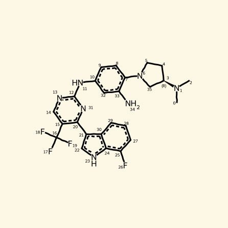 CN(C)[C@@H]1CCN(c2ccc(Nc3ncc(C(F)(F)F)c(-c4c[nH]c5c(F)cccc45)n3)cc2N)C1